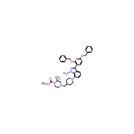 C[C@H]1CN(CC2CCN(c3cccc4c(-c5ccc(OCc6ccccc6)nc5OCc5ccccc5)nn(C)c34)CC2)CCN1C(=O)OC(C)(C)C